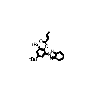 CC=CC(=O)Oc1c(-n2nc3ccccc3n2)cc(C(C)(C)C)cc1C(C)(C)C